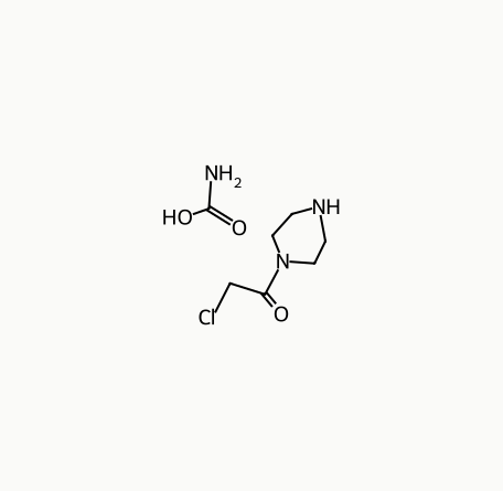 NC(=O)O.O=C(CCl)N1CCNCC1